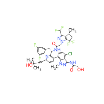 C[C@H]1CC(F)(F)c2c1c(C(F)F)nn2CC(=O)N[C@@H](Cc1cc(F)cc(F)c1)c1nc(C#CC(C)(C)O)ccc1-c1ccc(Cl)c2c(NC(=O)CO)nn(C)c12